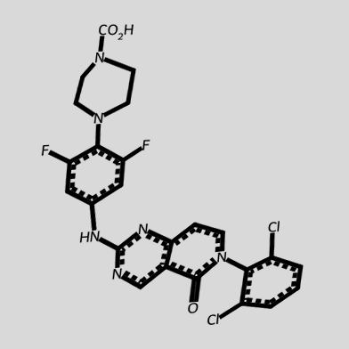 O=C(O)N1CCN(c2c(F)cc(Nc3ncc4c(=O)n(-c5c(Cl)cccc5Cl)ccc4n3)cc2F)CC1